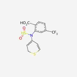 O=C(O)c1ccc(C(F)(F)F)cc1N(C1=CCSC=C1)[SH](=O)=O